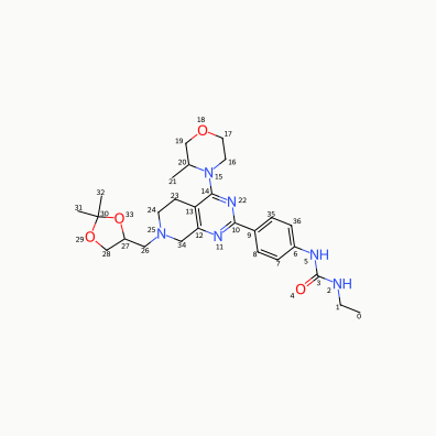 CCNC(=O)Nc1ccc(-c2nc3c(c(N4CCOCC4C)n2)CCN(CC2COC(C)(C)O2)C3)cc1